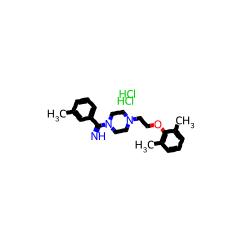 Cc1cccc(C(=N)N2CCN(CCOc3c(C)cccc3C)CC2)c1.Cl.Cl